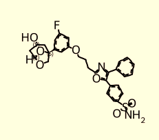 NS(=O)(=O)c1ccc(-c2oc(CCCOc3cc(F)cc([C@]45CO[C@@H](C[C@@H](O)C4)O5)c3)nc2-c2ccccc2)cc1